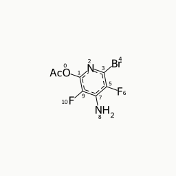 CC(=O)Oc1nc(Br)c(F)c(N)c1F